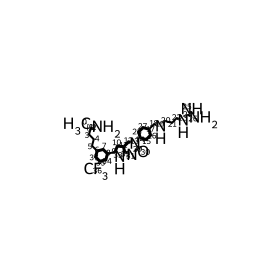 C[C@H](N)CCCc1cc(-c2cc3cn(-c4ccc(CNCCCNC(=N)N)cc4)c(=O)nc3[nH]2)cc(C(F)(F)F)c1